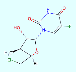 CC[C@@]1(CCl)O[C@@H](n2cc(F)c(=O)[nH]c2=O)[C@@H](O)[C@@H]1C